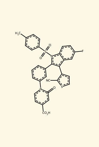 Cc1ccc(S(=O)(=O)n2c(-c3cccc(-n4ccc(C(=O)O)cc4=O)c3)c(-c3ccsc3C#N)c3cc(F)ccc32)cc1